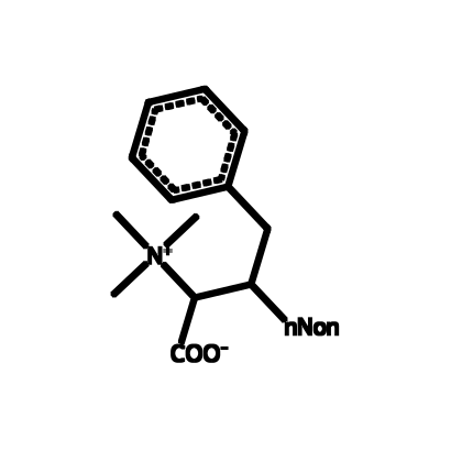 CCCCCCCCCC(Cc1ccccc1)C(C(=O)[O-])[N+](C)(C)C